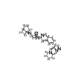 Cn1ncc(-c2ccc3cnc(NC(=O)CN4C5CCC6CCC654)cc3c2)c1CN1CCCCC1